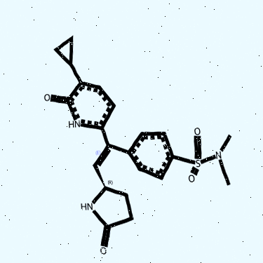 CN(C)S(=O)(=O)c1ccc(/C(=C\[C@H]2CCC(=O)N2)c2ccc(C3CC3)c(=O)[nH]2)cc1